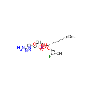 CCCCCCCCCCCCCCCCCCCC[C@H](COP(=O)(O)OC[C@]1(C)CC[C@H](c2ccc3c(N)ncnn23)O1)OCc1cc(F)cc(C#N)c1